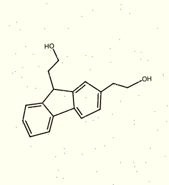 OCCc1ccc2c(c1)C(CCO)c1ccccc1-2